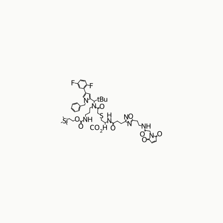 CC(C)(C)C(c1cc(-c2cc(F)ccc2F)cn1Cc1ccccc1)N(CCCNC(=O)OCC[Si](C)(C)C)C(=O)CSCC(NC(=O)CCc1noc(CCNC(=O)CN2C(=O)C=CC2=O)n1)C(=O)O